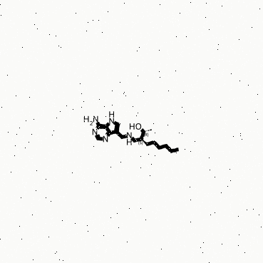 CCCCCC[C@@H](CNCc1c[nH]c2c(N)ncnc12)[C@@H](C)O